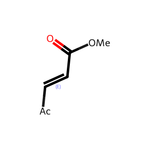 COC(=O)/C=C/C(C)=O